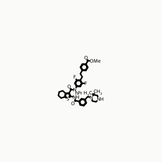 CCCN(C(=O)c1c(NC(=O)c2cccc(CN3CCNCC3(C)C)c2)sc2c1CCCC2)c1cc(F)c(CCc2ccc(C(=O)OC)cc2)c(F)c1